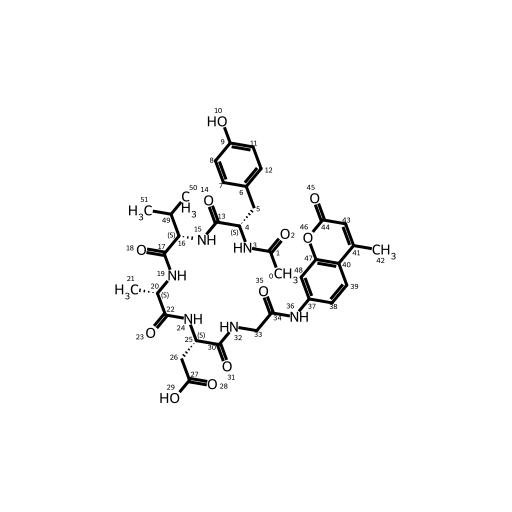 CC(=O)N[C@@H](Cc1ccc(O)cc1)C(=O)N[C@H](C(=O)N[C@@H](C)C(=O)N[C@@H](CC(=O)O)C(=O)NCC(=O)Nc1ccc2c(C)cc(=O)oc2c1)C(C)C